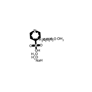 O.O.O.O.O.O.O.O=S(=O)(O)c1ccncc1.[NaH]